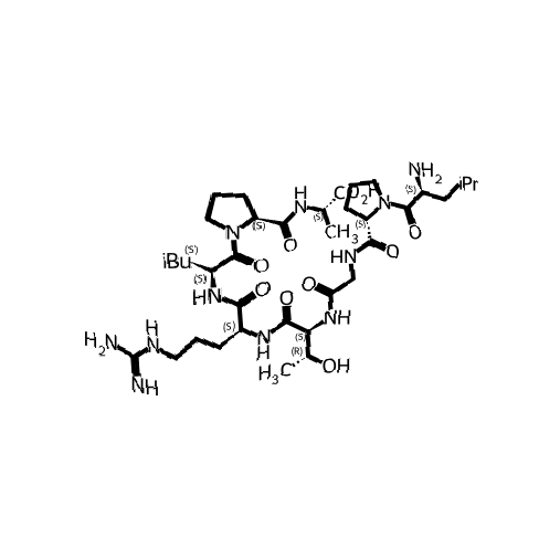 CC[C@H](C)[C@H](NC(=O)[C@H](CCCNC(=N)N)NC(=O)[C@@H](NC(=O)CNC(=O)[C@@H]1CCCN1C(=O)[C@@H](N)CC(C)C)[C@@H](C)O)C(=O)N1CCC[C@H]1C(=O)N[C@@H](C)C(=O)O